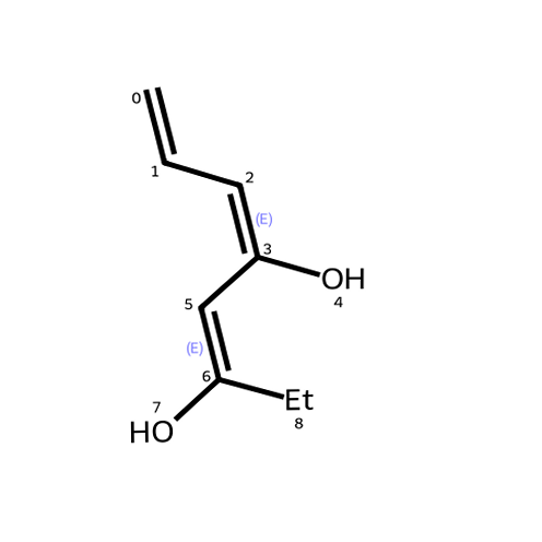 C=C/C=C(O)\C=C(\O)CC